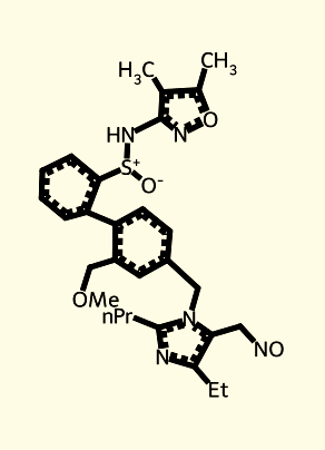 CCCc1nc(CC)c(CN=O)n1Cc1ccc(-c2ccccc2[S+]([O-])Nc2noc(C)c2C)c(COC)c1